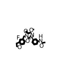 COc1nn(-c2cccc(NC(C)=O)c2)c(=O)n(Cc2ccc3c(c2F)CCO3)c1=O